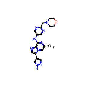 Cc1cn2c(-c3cn[nH]c3)cnc2c(Nc2cnc(CN3CCOCC3)nc2)n1